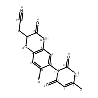 Cc1cc(=O)n(-c2cc3c(cc2F)OC(CC#N)C(=O)N3)c(=O)[nH]1